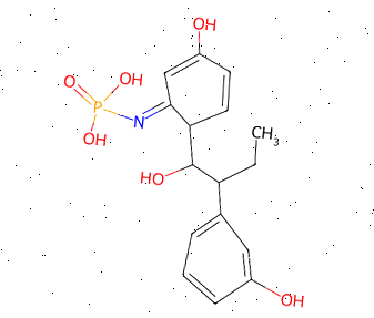 CCC(c1cccc(O)c1)C(O)C1C=CC(O)=CC1=NP(=O)(O)O